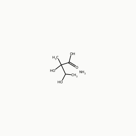 CC(O)C(C)(O)C(=O)O.N